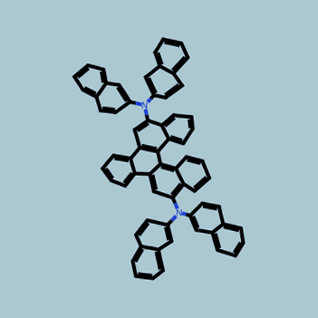 c1ccc2cc(N(c3ccc4ccccc4c3)c3cc4c5ccccc5c5cc(N(c6ccc7ccccc7c6)c6ccc7ccccc7c6)c6ccccc6c5c4c4ccccc34)ccc2c1